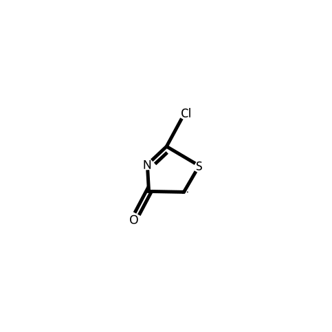 O=C1[CH]SC(Cl)=N1